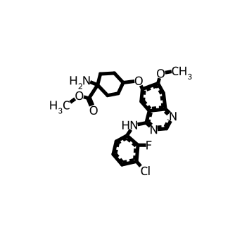 COC(=O)C1(N)CCC(Oc2cc3c(Nc4cccc(Cl)c4F)ncnc3cc2OC)CC1